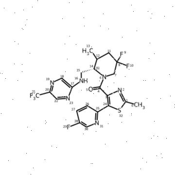 Cc1nc(C(=O)N2CC(F)(F)CC(C)[C@H]2CNc2cnc(C(F)(F)F)cn2)c(-c2ccc(F)cn2)s1